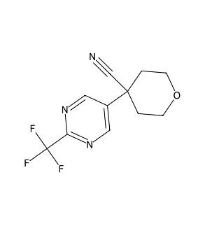 N#CC1(c2cnc(C(F)(F)F)nc2)CCOCC1